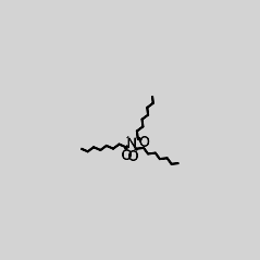 CCCCCCCC(=O)[N+](C)(C(=O)CCCCCCC)C(=O)CCCCCCC